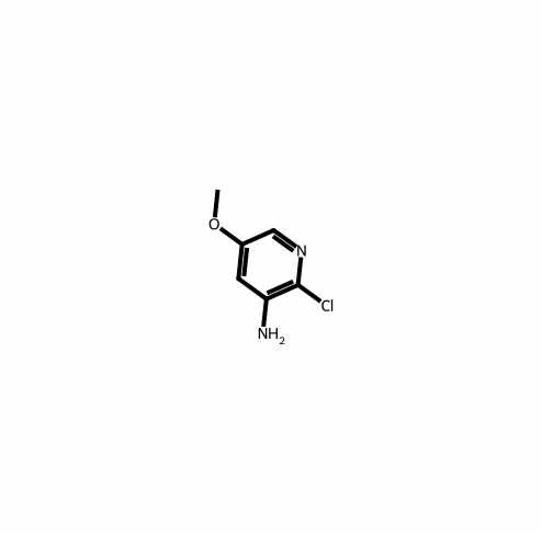 COc1cnc(Cl)c(N)c1